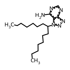 CCCCCCCC(CCCCCCC)n1nnc2ncnc(N)c21